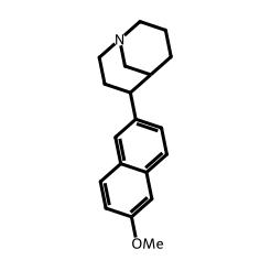 COc1ccc2cc(C3CCN4CCCC3C4)ccc2c1